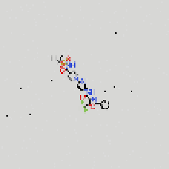 CS(=O)(=O)NC(=O)C1CCN(c2ccc(NC(=O)c3nc(-c4ccccc4)oc3C(F)(F)F)cn2)CC1